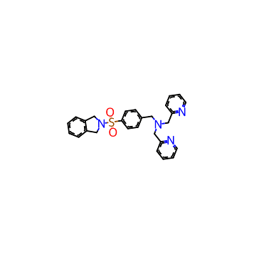 O=S(=O)(c1ccc(CN(Cc2ccccn2)Cc2ccccn2)cc1)N1Cc2ccccc2C1